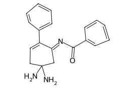 NC1(N)CC=C(c2ccccc2)C(=NC(=O)c2ccccc2)C1